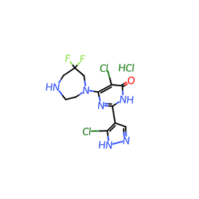 Cl.O=c1[nH]c(-c2cn[nH]c2Cl)nc(N2CCNCC(F)(F)C2)c1Cl